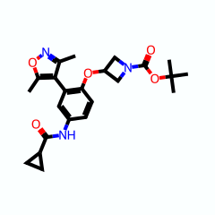 Cc1noc(C)c1-c1cc(NC(=O)C2CC2)ccc1OC1CN(C(=O)OC(C)(C)C)C1